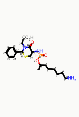 CC(CCCCCCN)O[PH](=O)NC1CSC(c2ccccc2)N(CC(=O)O)C1=O